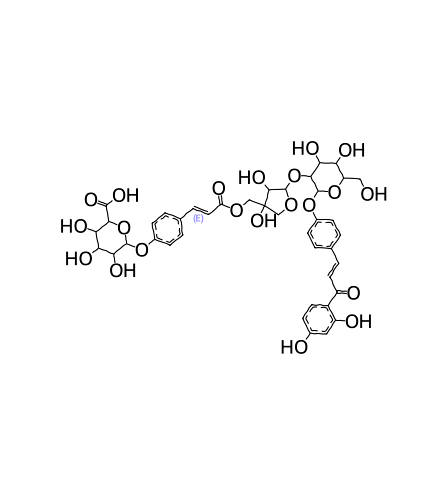 O=C(/C=C/c1ccc(OC2OC(C(=O)O)C(O)C(O)C2O)cc1)OCC1(O)COC(OC2C(Oc3ccc(C=CC(=O)c4ccc(O)cc4O)cc3)OC(CO)C(O)C2O)C1O